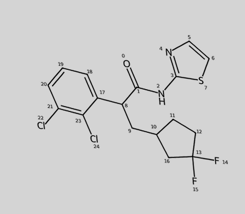 O=C(Nc1nccs1)C(CC1CCC(F)(F)C1)c1cccc(Cl)c1Cl